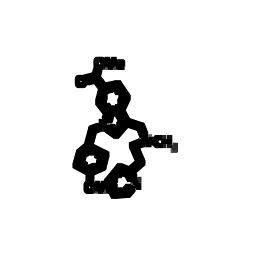 COC(=O)c1ccc2c(CN(C)CCc3ccccn3)cn(Cc3ccc(OC)cc3)c2c1